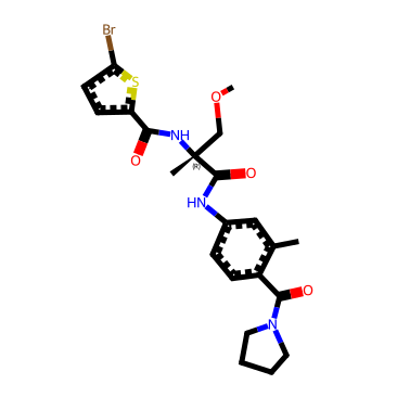 COC[C@@](C)(NC(=O)c1ccc(Br)s1)C(=O)Nc1ccc(C(=O)N2CCCC2)c(C)c1